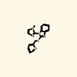 Cn1ccnc1-n1c(SCc2ccccn2)nc2ccccc21